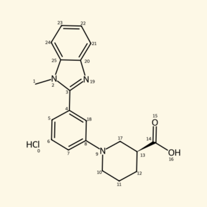 Cl.Cn1c(-c2cccc(N3CCC[C@H](C(=O)O)C3)c2)nc2ccccc21